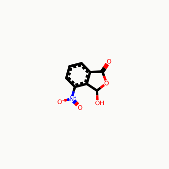 O=C1OC(O)c2c1cccc2[N+](=O)[O-]